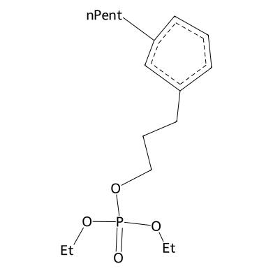 CCCCCc1cccc(CCCOP(=O)(OCC)OCC)c1